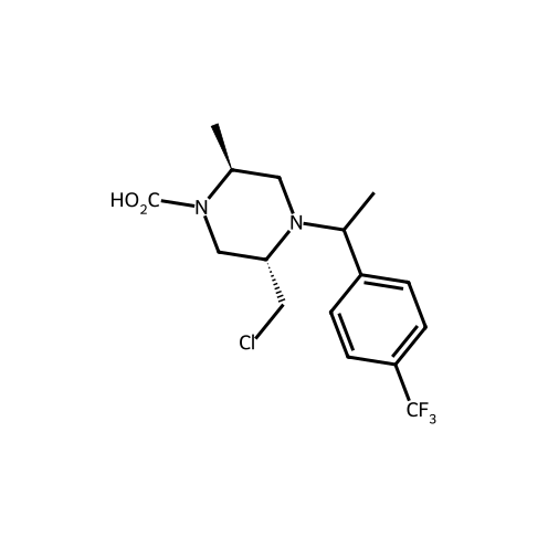 CC(c1ccc(C(F)(F)F)cc1)N1C[C@H](C)N(C(=O)O)C[C@H]1CCl